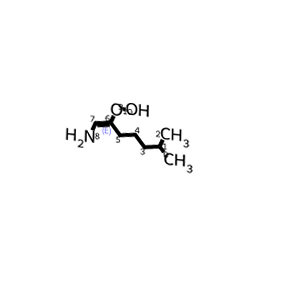 CC(C)CCC/C(=C\N)OO